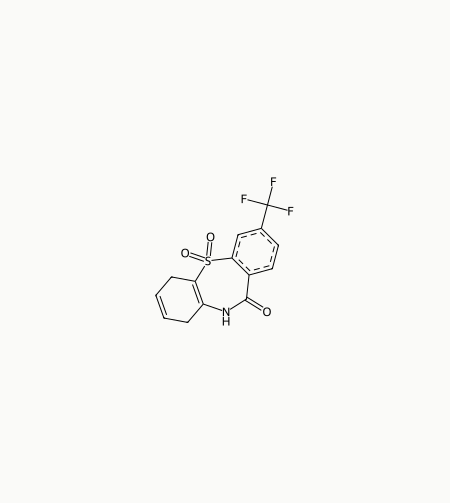 O=C1NC2=C(CC=CC2)S(=O)(=O)c2cc(C(F)(F)F)ccc21